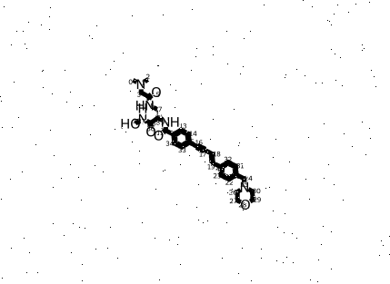 CN(C)CC(=O)NC[C@H](NC(=O)c1ccc(C#CC=Cc2ccc(CN3CCOCC3)cc2)cc1)C(=O)NO